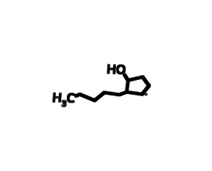 CCCCCC1[CH]CCC1O